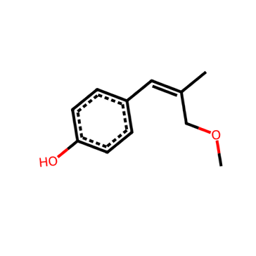 COCC(C)=Cc1ccc(O)cc1